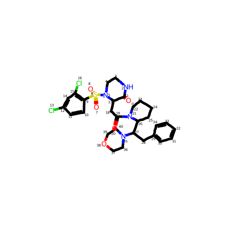 O=C1NCCN(S(=O)(=O)c2ccc(Cl)cc2Cl)C1CC(=O)N1CCCCC1C(Cc1ccccc1)N1CCOCC1